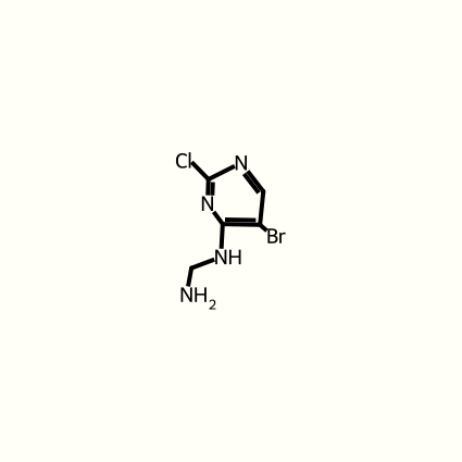 NCNc1nc(Cl)ncc1Br